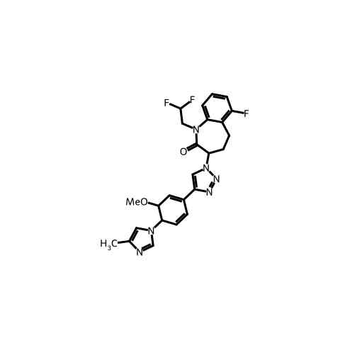 COC1C=C(c2cn(C3CCc4c(F)cccc4N(CC(F)F)C3=O)nn2)C=CC1n1cnc(C)c1